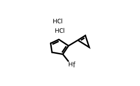 Cl.Cl.[Hf][C]1=C(C2=CC2)C=CC1